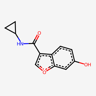 O=C(NC1CC1)c1coc2cc(O)ccc12